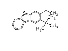 CCc1cc2sc3ccccc3c2cc1C(C)(C)C